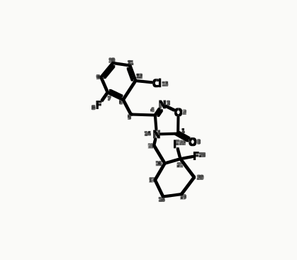 O=c1onc(Cc2c(F)cccc2Cl)n1CC1CCCCC1(F)F